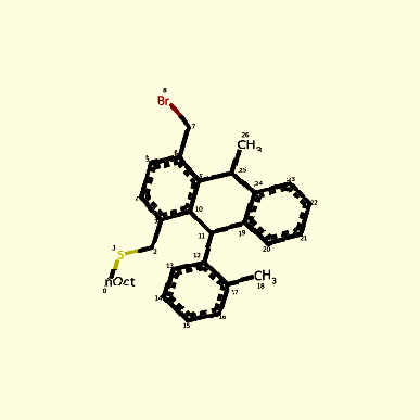 CCCCCCCCSCc1ccc(CBr)c2c1C(c1ccccc1C)c1ccccc1C2C